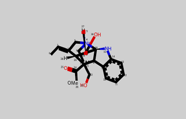 C/C=C1/C[N@+]2(C)CC[C@@]34c5ccccc5N[C@]32[C@@H](O)C[C@@H]1C4(CO)C(=O)OC